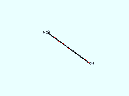 O=C(O)CCCCCCCCCCCCCCCCCCCCCCCCCCCCCCCCCCCCCCCCCCCCCCCCCO